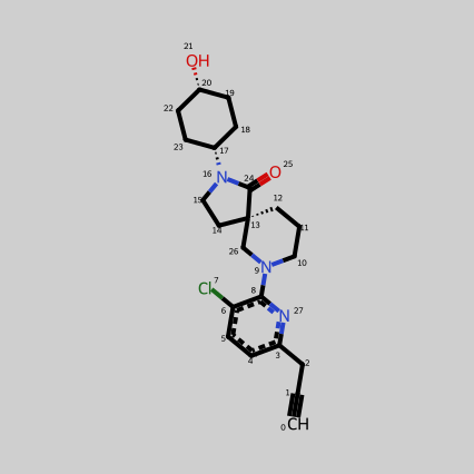 C#CCc1[c]cc(Cl)c(N2CCC[C@@]3(CCN([C@H]4CC[C@@H](O)CC4)C3=O)C2)n1